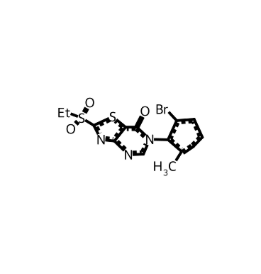 CCS(=O)(=O)c1nc2ncn(-c3c(C)cccc3Br)c(=O)c2s1